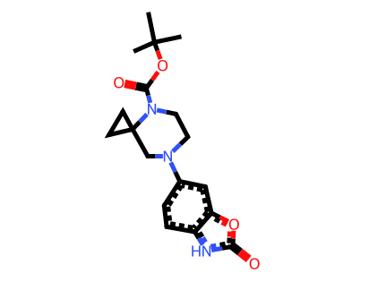 CC(C)(C)OC(=O)N1CCN(c2ccc3[nH]c(=O)oc3c2)CC12CC2